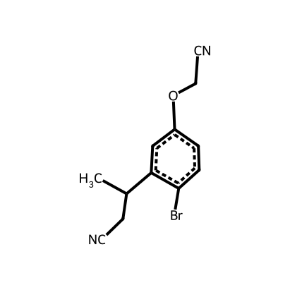 CC(CC#N)c1cc(OCC#N)ccc1Br